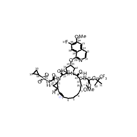 COC[C@@H]1CCCC/C=C\[C@@H]2C[C@@]2(C(=O)NS(=O)(=O)C2CC2)NC(=O)[C@@H]2C[C@@H](Oc3nccc4cc(OC)c(F)cc34)CN2C(=O)[C@H]1NC(=O)OC(C)(C)C(F)(F)F